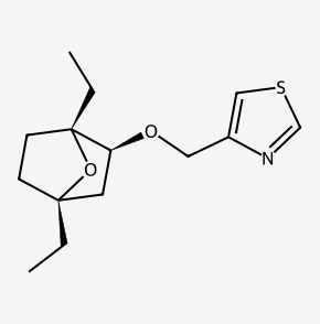 CC[C@@]12CC[C@@](CC)(O1)[C@@H](OCc1cscn1)C2